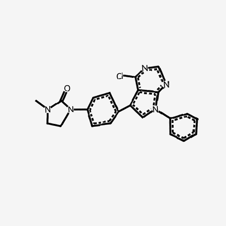 CN1CCN(c2ccc(-c3cn(-c4ccccc4)c4ncnc(Cl)c34)cc2)C1=O